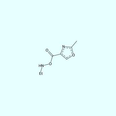 CCNOC(=O)c1coc(C)n1